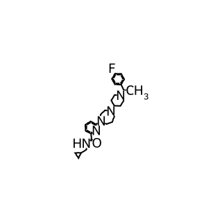 C[C@H](c1ccc(F)cc1)N1CCC(N2CCCN(c3cccc(C(=O)NCC4CC4)n3)CC2)CC1